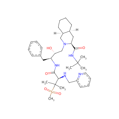 CC(C)(C)NC(=O)[C@@H]1C[C@@H]2CCCC[C@@H]2CN1C[C@@H](O)[C@H](Cc1ccccc1)NC(=O)[C@@H](NCc1ccccn1)C(C)(C)S(C)(=O)=O